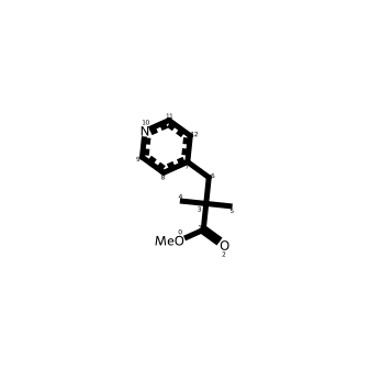 COC(=O)C(C)(C)Cc1ccncc1